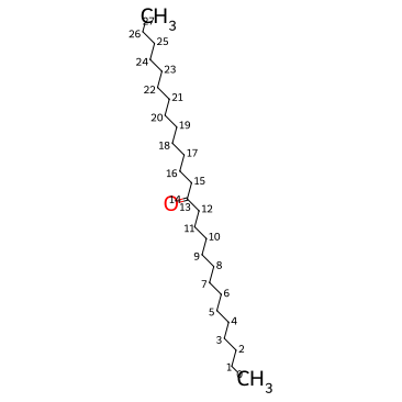 CCCCCCCCCCCCCC(=O)CCCCCCCCCCCCC